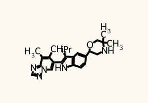 Cc1c(-c2[nH]c3ccc(C4CNC(C)(C)CO4)cc3c2C(C)C)cn2ncnc2c1C